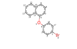 Brc1ccc(Oc2cccc3ccccc23)cc1